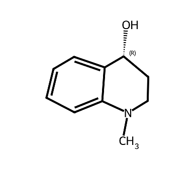 CN1CC[C@@H](O)c2ccccc21